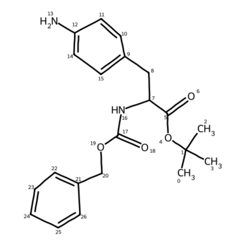 CC(C)(C)OC(=O)C(Cc1ccc(N)cc1)NC(=O)OCc1ccccc1